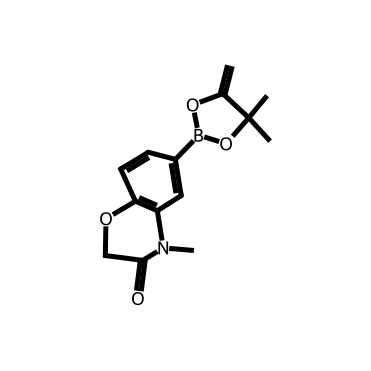 C=C1OB(c2ccc3c(c2)N(C)C(=O)CO3)OC1(C)C